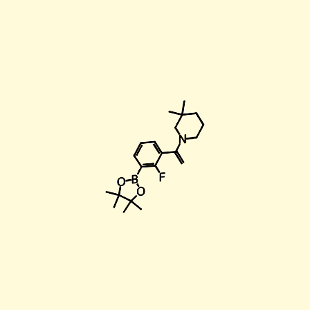 C=C(c1cccc(B2OC(C)(C)C(C)(C)O2)c1F)N1CCCC(C)(C)C1